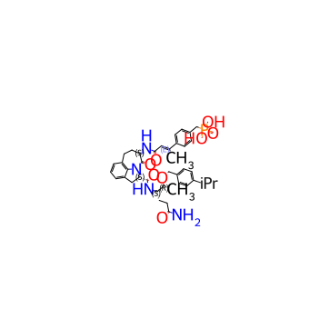 C/C(=C\C(=O)N[C@H]1CCc2cccc3c2N(C1=O)[C@H](C(=O)N[C@@H](CCC(N)=O)[C@@H](C)OCc1ccc(C(C)C)cc1)C3)c1ccc(CP(=O)(O)O)cc1